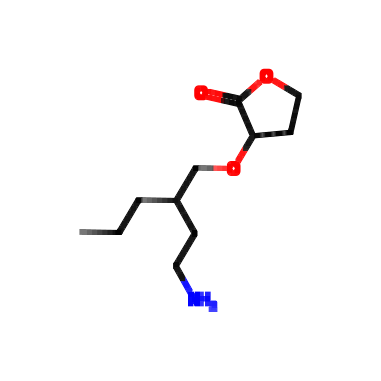 CCCC(CCN)COC1CCOC1=O